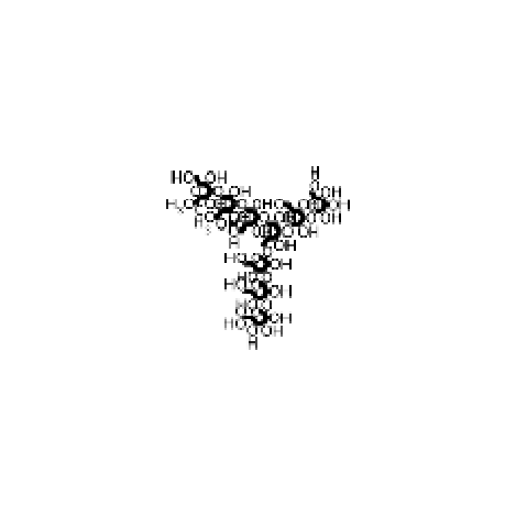 CC(C)C1OC(CO)C(O)C(OC2OC(C(=O)O)C(O)C(OC3OC(CO)C(O)C(OC4OC(COC5OC(CO)C(O)C(OC6OC(CO)C(O)C(OC7OC(C(=O)O)C(O)C(O)C7O)C6O)C5O)C(O)C(OC5OC(CO)C(O)C(OC6OC(CO)C(O)C(O)C6O)C5O)C4O)C3O)C2O)C1O